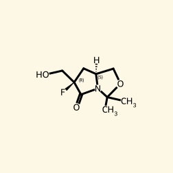 CC1(C)OC[C@@H]2C[C@@](F)(CO)C(=O)N21